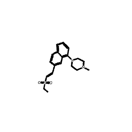 CCS(=O)(=O)C=Cc1ccc2cccc(N3CCN(C)CC3)c2c1